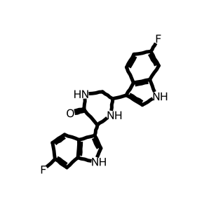 O=C1NCC(c2c[nH]c3cc(F)ccc23)NC1c1c[nH]c2cc(F)ccc12